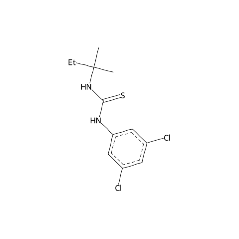 CCC(C)(C)NC(=S)Nc1cc(Cl)cc(Cl)c1